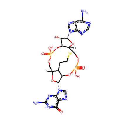 Nc1nc2c(ncn2[C@@H]2O[C@@H]3COP(=O)(O)OC4[C@@H](COP(=O)(O)OC2C3CCS)O[C@@H](n2cnc3c(N)ncnc32)[C@H]4O)c(=O)[nH]1